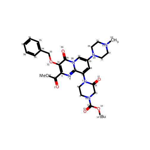 COC(=O)c1nc2c(N3CCN(C(=O)OC(C)(C)C)CC3=O)cc(N3CCN(C)CC3)cn2c(=O)c1OCc1ccccc1